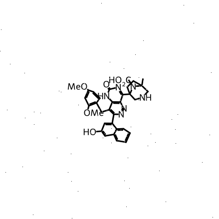 COc1ccc(Cc2c(-c3cc(O)cc4ccccc34)nnc3c(C45CCC(C)(CNC4)N5C(=O)O)nc(=O)[nH]c23)c(OC)c1